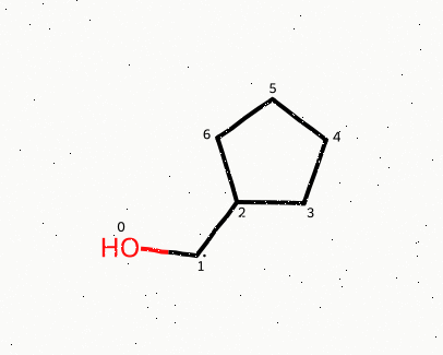 O[CH]C1CCCC1